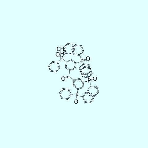 CO[PH](c1ccccc1)(c1ccccc1)c1cc(C(=O)c2cc(P(=O)(c3ccccc3)c3ccccc3)cc(P(=O)(c3ccccc3)c3ccccc3)c2)cc(P(=O)(c2ccccc2)c2ccccc2)c1